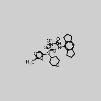 Cc1nc(N(C2CCOCC2)S(=O)(=O)[NH+]([O-])C(=O)Nc2c3c(cc4c2CCC4)CCC3)co1